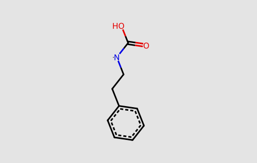 O=C(O)[N]CCc1ccccc1